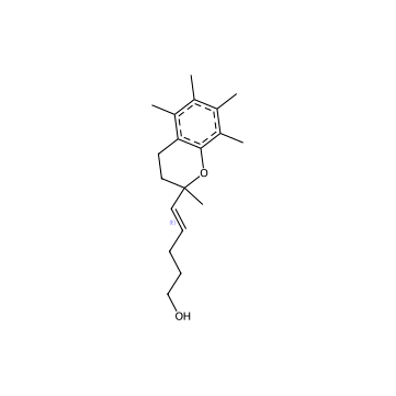 Cc1c(C)c(C)c2c(c1C)CCC(C)(/C=C/CCCO)O2